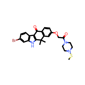 CSN1CCN(C(=O)COc2ccc3c(c2)C(C)(C)c2[nH]c4cc(Br)ccc4c2C3=O)CC1